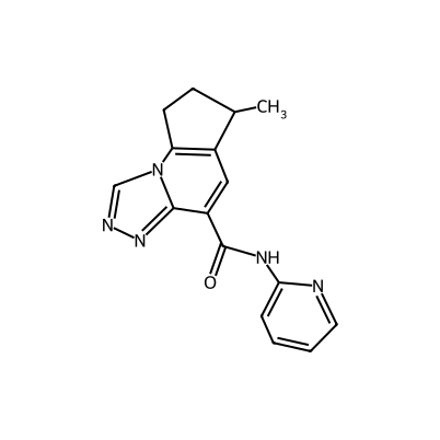 CC1CCc2c1cc(C(=O)Nc1ccccn1)c1nncn21